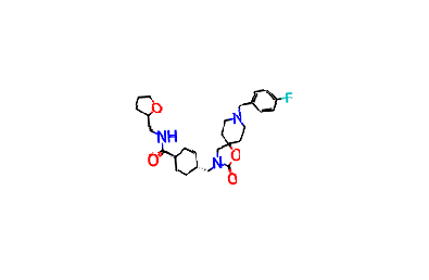 O=C1OC2(CCN(Cc3ccc(F)cc3)CC2)CN1C[C@H]1CC[C@H](C(=O)NCC2CCCO2)CC1